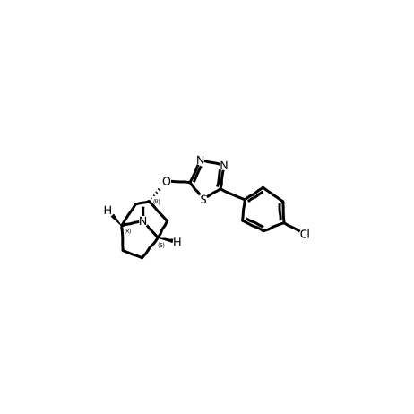 CN1[C@@H]2CC[C@H]1C[C@@H](Oc1nnc(-c3ccc(Cl)cc3)s1)C2